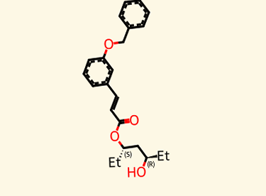 CC[C@@H](O)C[C@H](CC)OC(=O)C=Cc1cccc(OCc2ccccc2)c1